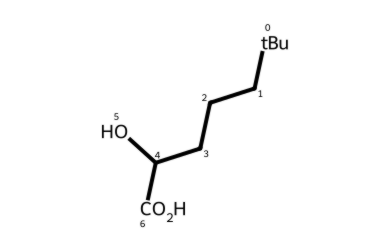 CC(C)(C)CCCC(O)C(=O)O